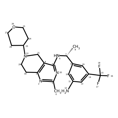 Cc1nc2c(c(N[C@H](C)c3cc(N)cc(C(F)(F)F)c3)n1)CN(C1CCOCC1)CC2